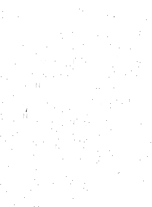 Cc1ccc(S(=O)(=O)n2ccc3c(N(C)[C@H]4CCN(C(=O)CNc5cc(Cl)cc(Cl)c5)C4)ncnc32)cc1